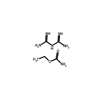 CCOC(N)=O.N=C(N)NC(=N)N